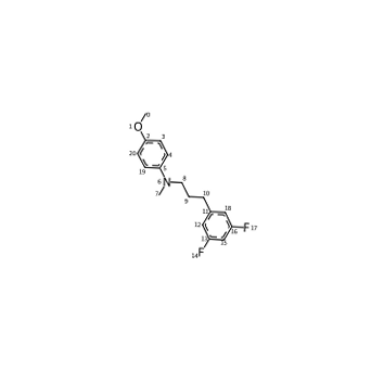 COc1ccc(N(C)CCCc2cc(F)cc(F)c2)cc1